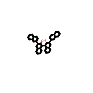 Oc1c(-c2ccc3ccccc3c2)cc2ccccc2c1-c1cc(-c2ccc3ccccc3c2)cc2ccccc12